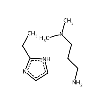 CCc1ncc[nH]1.CN(C)CCCN